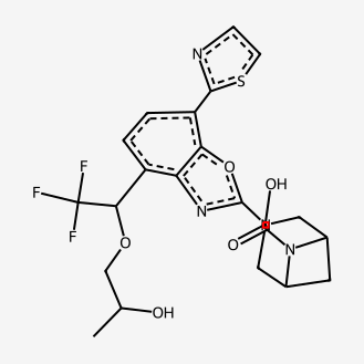 CC(O)COC(c1ccc(-c2nccs2)c2oc(N3CC4CC(C3)N4C(=O)O)nc12)C(F)(F)F